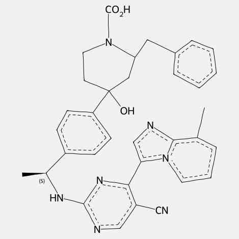 Cc1cccn2c(-c3nc(N[C@@H](C)c4ccc(C5(O)CCN(C(=O)O)C(Cc6ccccc6)C5)cc4)ncc3C#N)cnc12